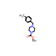 Cc1ccc(CN2CCN(C(=O)OC(C)(C)C)CC2)cc1